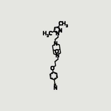 Cc1cc(C)n(CCN2CC3CN(CCCOc4ccc(C#N)cc4)CC(C2)O3)n1